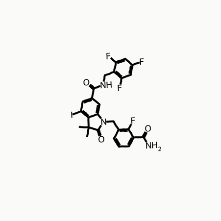 CC1(C)C(=O)N(Cc2cccc(C(N)=O)c2F)c2cc(C(=O)NCc3c(F)cc(F)cc3F)cc(I)c21